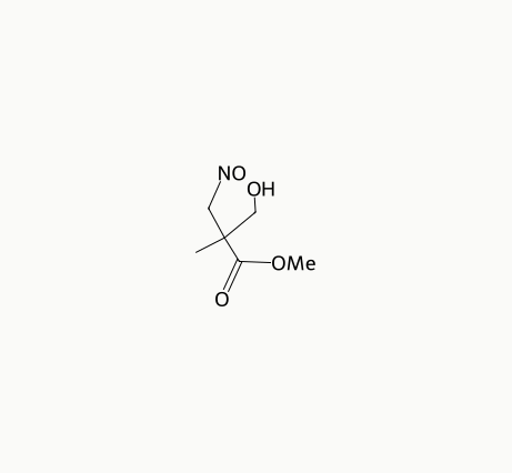 COC(=O)C(C)(CO)CN=O